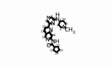 CN1CCC(Nc2cncc(-c3ccc4cnc(NC(=O)C5CCCC5)cc4n3)n2)CC1